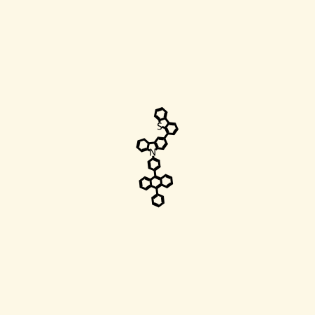 C1=CCC2C(=C1)N(c1ccc(-c3c4ccccc4c(-c4ccccc4)c4ccccc34)cc1)c1ccc(-c3cccc4c3sc3ccccc34)cc12